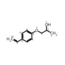 [CH2]C(O)COc1ccc(C=C)cc1